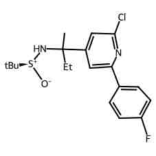 CCC(C)(N[S@@+]([O-])C(C)(C)C)c1cc(Cl)nc(-c2ccc(F)cc2)c1